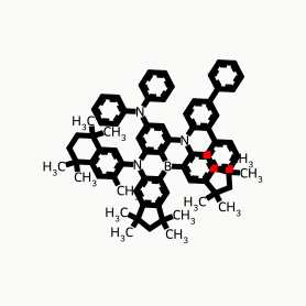 Cc1cc2c(cc1N1c3cc4c(cc3B3c5cc6c(cc5N(c5ccc(-c7ccccc7)cc5-c5ccccc5)c5cc(N(c7ccccc7)c7ccccc7)cc1c53)C(C)(C)CC6(C)C)C(C)(C)CC4(C)C)C(C)(C)CCC2(C)C